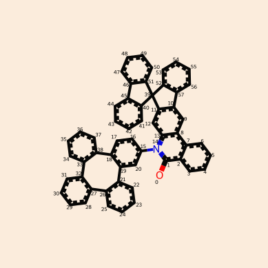 O=c1c2ccccc2c2cc3c(cc2n1-c1ccc2c(c1)-c1ccccc1-c1ccccc1-c1ccccc1-2)C1(c2ccccc2-c2ccccc21)c1ccccc1-3